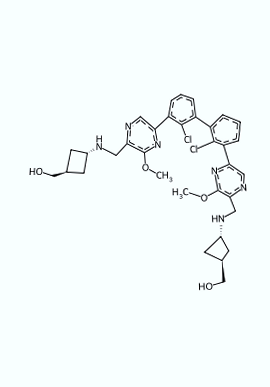 COc1nc(-c2cccc(-c3cccc(-c4cnc(CN[C@H]5C[C@H](CO)C5)c(OC)n4)c3Cl)c2Cl)cnc1CN[C@H]1C[C@H](CO)C1